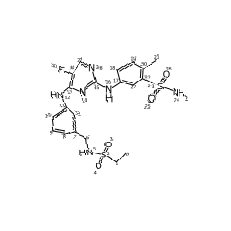 CCS(=O)(=O)NCc1cccc(Nc2nc(Nc3ccc(C)c(S(N)(=O)=O)c3)ncc2F)c1